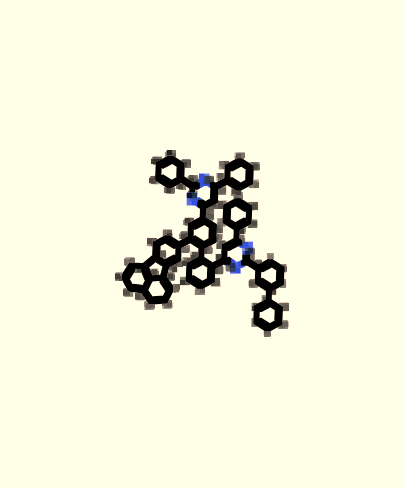 c1ccc(-c2cccc(-c3nc(-c4ccccc4)cc(-c4ccccc4-c4ccc(-c5cc(-c6ccccc6)nc(-c6ccccc6)n5)cc4-c4ccc5c(c4)-c4cccc6cccc-5c46)n3)c2)cc1